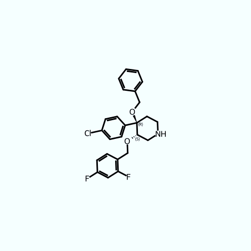 Fc1ccc(CO[C@H]2CNCC[C@@]2(OCc2ccccc2)c2ccc(Cl)cc2)c(F)c1